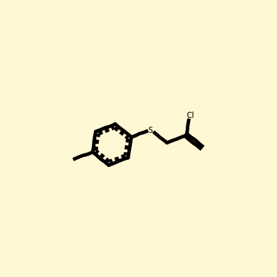 C=C(Cl)CSc1ccc(C)cc1